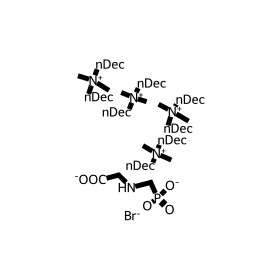 CCCCCCCCCC[N+](C)(C)CCCCCCCCCC.CCCCCCCCCC[N+](C)(C)CCCCCCCCCC.CCCCCCCCCC[N+](C)(C)CCCCCCCCCC.CCCCCCCCCC[N+](C)(C)CCCCCCCCCC.O=C([O-])CNCP(=O)([O-])[O-].[Br-]